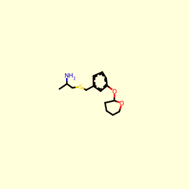 CC(N)CSCc1cccc(OC2CCCCO2)c1